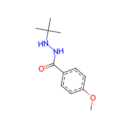 COc1ccc(C(=O)NNC(C)(C)C)cc1